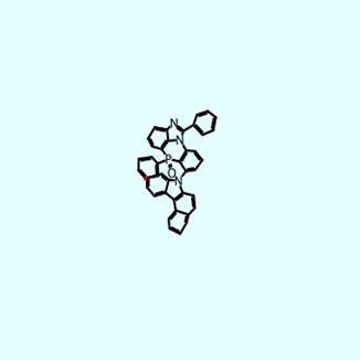 O=P1(c2ccccc2)c2c(cccc2-n2c3ccccc3c3c4ccccc4ccc32)-n2c(-c3ccccc3)nc3cccc1c32